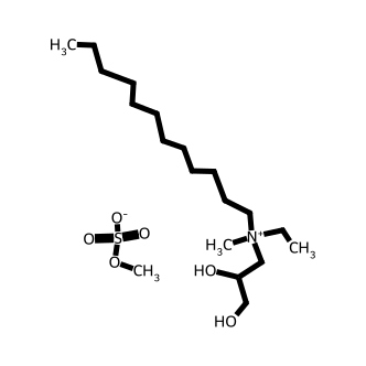 CCCCCCCCCCCC[N+](C)(CC)CC(O)CO.COS(=O)(=O)[O-]